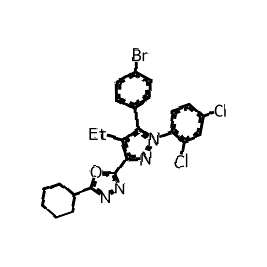 CCc1c(-c2nnc(C3CCCCC3)o2)nn(-c2ccc(Cl)cc2Cl)c1-c1ccc(Br)cc1